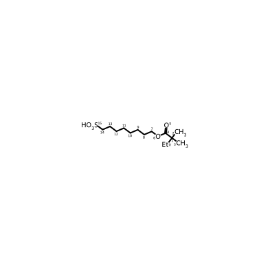 CCC(C)(C)C(=O)OCCCCCCCCS(=O)(=O)O